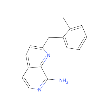 Cc1ccccc1Cc1ccc2ccnc(N)c2n1